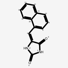 O=C1NC(=O)C(=Cc2cccc3ccccc23)N1